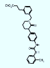 CCOC(=O)CCc1cccc(CN2CCCC(c3ccc(NC(=O)Nc4ccccc4C)cc3)C2=O)c1